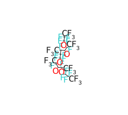 O=C(C(F)(OC(F)(F)C(F)(F)C(F)(F)F)C(F)(F)F)C(F)(OC(F)(F)C(F)(F)C(F)(C(=O)C(F)(OC(F)(F)C(F)(F)C(F)(F)F)C(F)(F)F)C(F)(F)F)C(F)(F)F